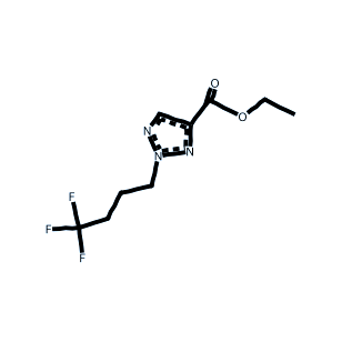 CCOC(=O)c1cnn(CCCC(F)(F)F)n1